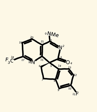 CNC1=NC(=O)[C@@]2(CCc3cc(F)ccc32)c2nc(C(F)(F)F)ccc21